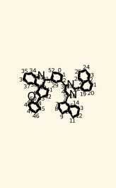 c1cc(-c2cc(-c3cccc4ccccc34)nc(-c3cccc4ccccc34)n2)cc(-c2nc3ccccc3c3c2ccc2c4ccccc4oc23)c1